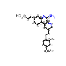 COc1ccc(CCc2cnc3c(N)nc4cc(/C=C/C(=O)O)ccc4c3c2)c(C)c1